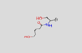 CCC(CO)NC(=O)CCCO